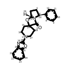 O=C1N2[C@@H](CC[C@H]2c2ccccc2)OC12CCN(c1nc3ccccc3o1)CC2